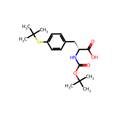 CC(C)(C)OC(=O)N[C@H](Cc1ccc(SC(C)(C)C)cc1)C(=O)O